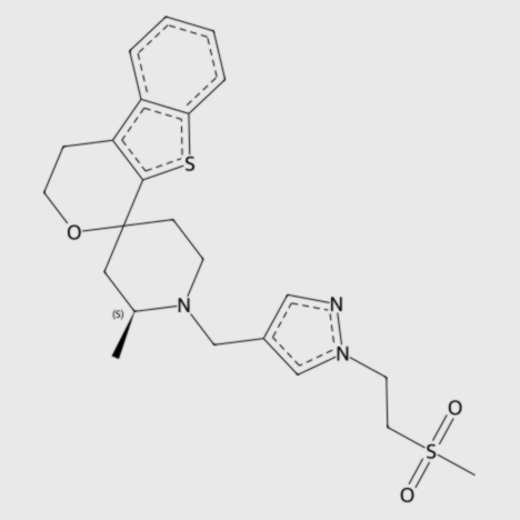 C[C@H]1CC2(CCN1Cc1cnn(CCS(C)(=O)=O)c1)OCCc1c2sc2ccccc12